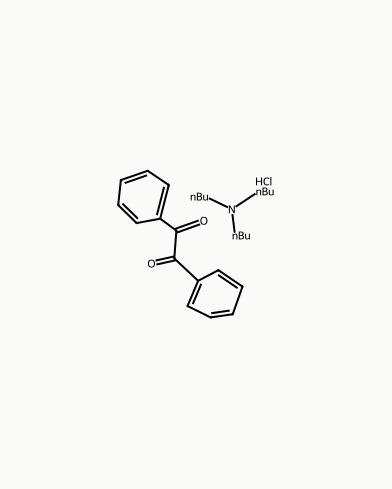 CCCCN(CCCC)CCCC.Cl.O=C(C(=O)c1ccccc1)c1ccccc1